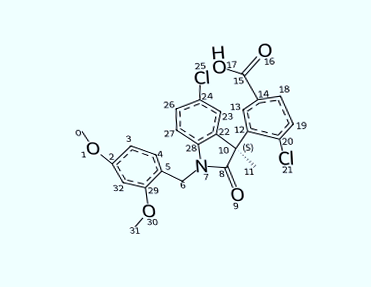 COc1ccc(CN2C(=O)[C@](C)(c3cc(C(=O)O)ccc3Cl)c3cc(Cl)ccc32)c(OC)c1